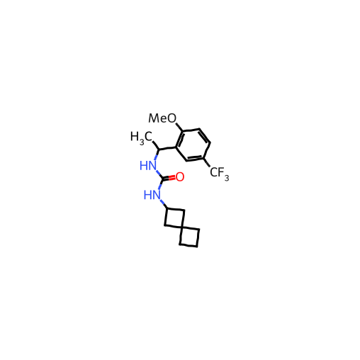 COc1ccc(C(F)(F)F)cc1C(C)NC(=O)NC1CC2(CCC2)C1